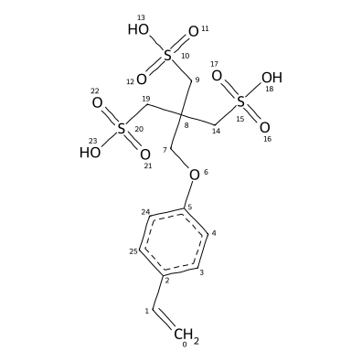 C=Cc1ccc(OCC(CS(=O)(=O)O)(CS(=O)(=O)O)CS(=O)(=O)O)cc1